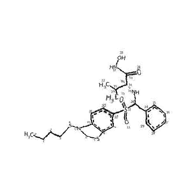 CCCCSN1CSc2cc(S(=O)(=O)C(N[C@@H](C(=O)NO)C(C)C)c3ccccc3)ccc21